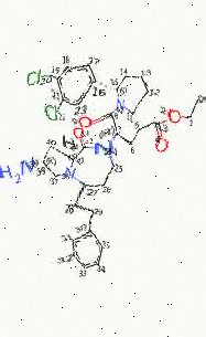 CCOC(=O)CC[C@H](C(=O)N1CCCC[C@H]1c1ccc(Cl)c(Cl)c1)N1CCC(CCc2ccccc2)N2C[C@H](N)C[C@H]2C1=O